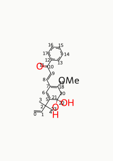 C=CC(C)(C)C1=CC(C=CC(=O)c2ccccc2)=C(OC)CC1(O)O